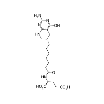 Nc1nc(O)c2c(n1)NC[C@@H](CCCCCCC(=O)N[C@@H](CCC(=O)O)C(=O)O)C2